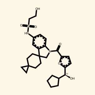 O=C(c1ccc([C@@H](O)C2CCCC2)o1)N1CC2(CCC3(CC3)CC2)c2cc(NS(=O)(=O)CCO)ccc21